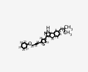 CN(C)Cc1ccc2c(c1)-c1[nH]nc(-c3csc(C#CCOc4ccccc4)c3)c1C2